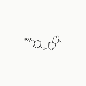 CB1OCc2cc(Oc3ccc(C(=O)O)cc3)ccc21